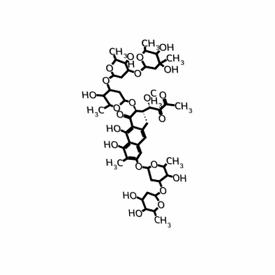 CO[C@H](C(=O)C(C)=O)[C@@H]1Cc2cc3cc(OC4CC(OC5CC(O)C(O)C(C)O5)C(O)C(C)O4)c(C)c(O)c3c(O)c2C(=O)[C@H]1OC1CC(OC2CC(OC3CC(C)(O)C(O)C(C)O3)C(O)C(C)O2)C(O)C(C)O1